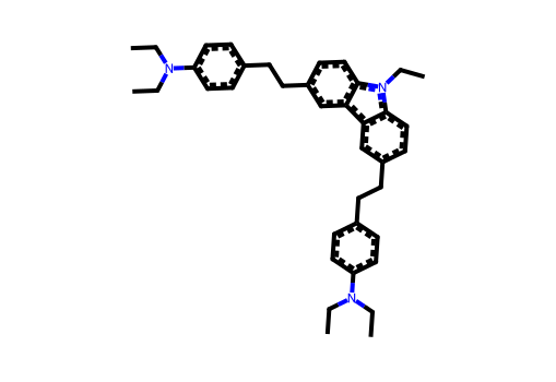 CCN(CC)c1ccc(CCc2ccc3c(c2)c2cc(CCc4ccc(N(CC)CC)cc4)ccc2n3CC)cc1